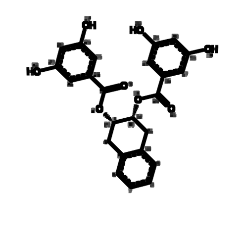 O=C(O[C@H]1Cc2ccccc2C[C@H]1OC(=O)c1cc(O)cc(O)c1)c1cc(O)cc(O)c1